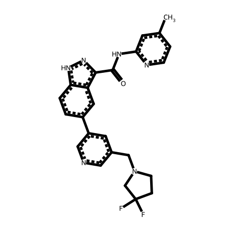 Cc1ccnc(NC(=O)c2n[nH]c3ccc(-c4cncc(CN5CCC(F)(F)C5)c4)cc23)c1